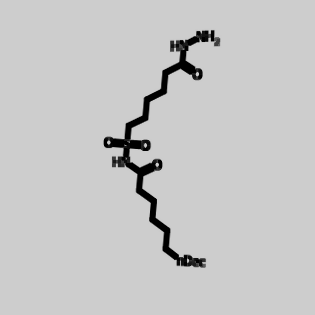 CCCCCCCCCCCCCCCC(=O)NS(=O)(=O)CCCCCC(=O)NN